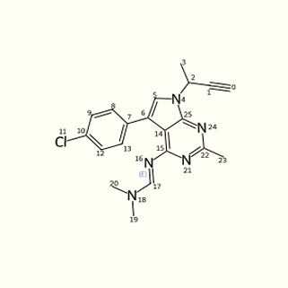 C#CC(C)n1cc(-c2ccc(Cl)cc2)c2c(/N=C/N(C)C)nc(C)nc21